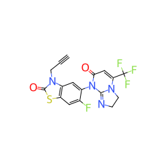 C#CCn1c(=O)sc2cc(F)c(N3C(=O)C=C(C(F)(F)F)N4CCN=C43)cc21